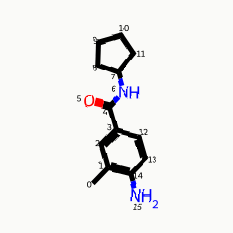 Cc1cc(C(=O)NC2CCCC2)ccc1N